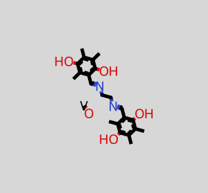 Cc1c(C)c(O)c(C=NCCN=Cc2c(C)c(O)c(C)c(C)c2O)c(C)c1O.[O]=[V]